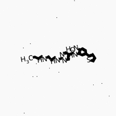 CCCCNCCCNc1ncc(C(=O)Nc2cc(-c3cccs3)ccc2N)cn1